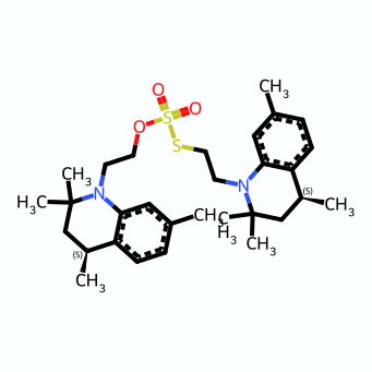 Cc1ccc2c(c1)N(CCOS(=O)(=O)SCCN1c3cc(C)ccc3[C@@H](C)CC1(C)C)C(C)(C)C[C@@H]2C